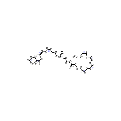 CCCCC/C=C\C/C=C\C/C=C\C/C=C\CCCC(=O)OCCOC(=O)CCC/C=C\C/C=C\C/C=C\C/C=C\CCCCC